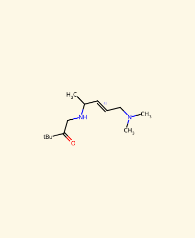 CC(/C=C/CN(C)C)NCC(=O)C(C)(C)C